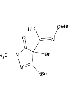 CO/N=C(\C)C1(Br)C(=O)N(C)N=C1C(C)(C)C